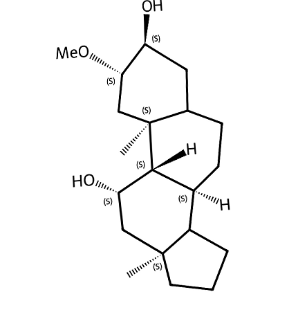 CO[C@H]1C[C@@]2(C)C(CC[C@H]3C4CCC[C@@]4(C)C[C@H](O)[C@@H]32)C[C@@H]1O